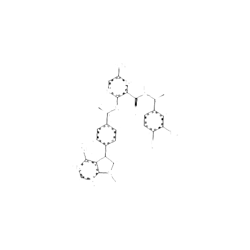 C[C@H](NC(=O)c1nc(C#N)cnc1N[C@H](C)c1ccc(C2CN(C)c3ncnc(N)c32)cc1)c1ccc(F)c(F)c1